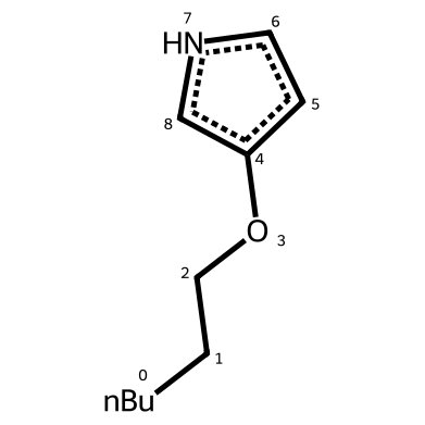 CCCCCCOc1cc[nH]c1